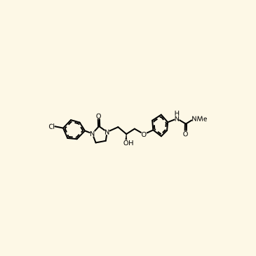 CNC(=O)Nc1ccc(OC[C@@H](O)CN2CCN(c3ccc(Cl)cc3)C2=O)cc1